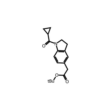 CC(C)(C)OC(=O)Cc1ccc2c(c1)CCN2C(=O)C1CC1